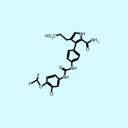 NC(=O)c1[nH]cc(CCC(=O)O)c1-c1ccc(NC(=O)Nc2ccc(OC(F)F)c(Cl)c2)cc1